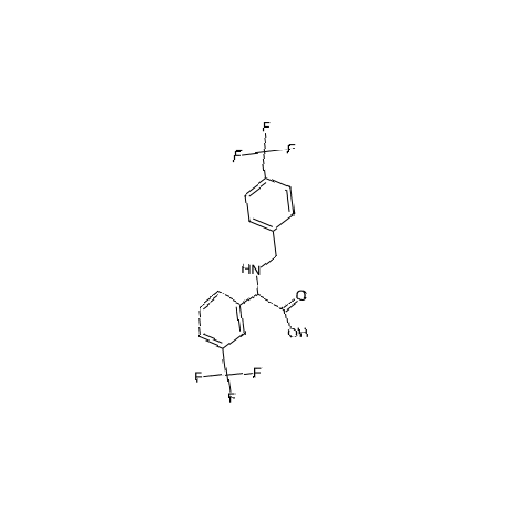 O=C(O)C(NCc1ccc(C(F)(F)F)cc1)c1cccc(C(F)(F)F)c1